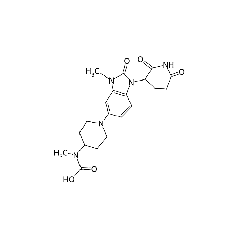 CN(C(=O)O)C1CCN(c2ccc3c(c2)n(C)c(=O)n3C2CCC(=O)NC2=O)CC1